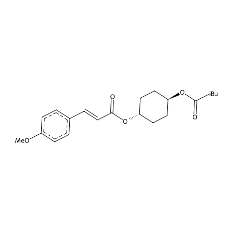 CCC(C)C(=O)O[C@H]1CC[C@H](OC(=O)/C=C/c2ccc(OC)cc2)CC1